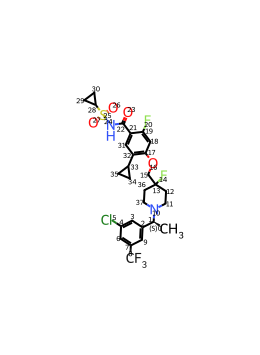 C[C@@H](c1cc(Cl)cc(C(F)(F)F)c1)N1CCC(F)(COc2cc(F)c(C(=O)NS(=O)(=O)C3CC3)cc2C2CC2)CC1